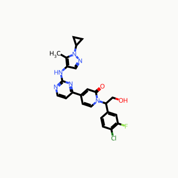 Cc1c(Nc2nccc(-c3ccn(C(CO)c4ccc(Cl)c(F)c4)c(=O)c3)n2)cnn1C1CC1